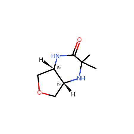 CC1(C)N[C@@H]2COC[C@@H]2NC1=O